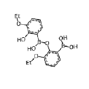 CCOc1cccc(B(O)Oc2c(OCC)cccc2B(O)O)c1O